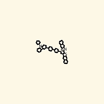 c1ccc(-n2c3ccccc3c3cc(-c4ccc(-c5ccc(-c6cc7c8cc9ccccc9cc8sc7c7nc8cc9ccccc9cc8n67)cc5)cc4)ccc32)cc1